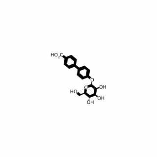 O=C(O)c1ccc(-c2ccc(O[C@H]3O[C@H](CO)[C@@H](O)[C@H](O)[C@@H]3O)cc2)cc1